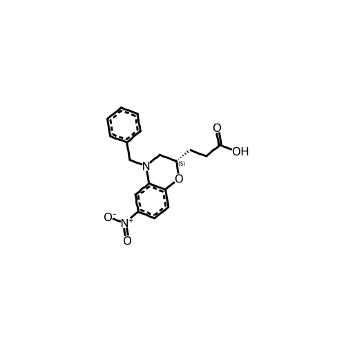 O=C(O)CC[C@H]1CN(Cc2ccccc2)c2cc([N+](=O)[O-])ccc2O1